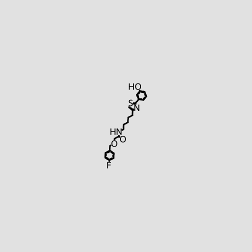 O=C(COCc1ccc(F)cc1)NCCCCCc1csc(-c2cccc(O)c2)n1